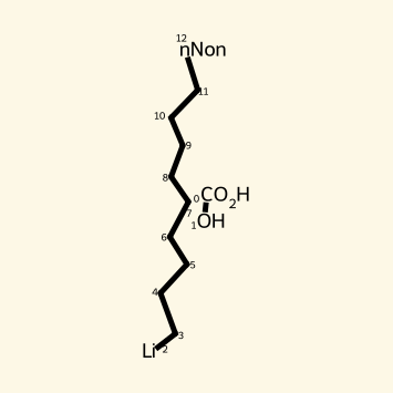 O=C(O)O.[Li][CH2]CCCCCCCCCCCCCCCCC